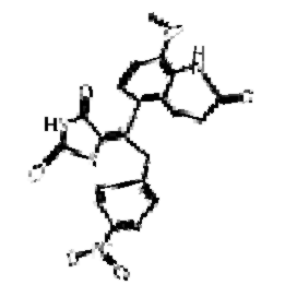 COc1ccc(C(Cc2ccc([N+](=O)[O-])cc2)=C2SC(=O)NC2=O)c2c1NC(=O)CC2